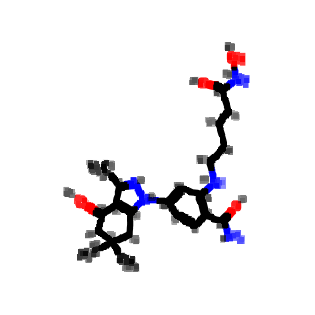 Cc1nn(-c2ccc(C(N)=O)c(NCCCCC(=O)NO)c2)c2c1C(=O)CC(C)(C)C2